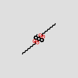 CCCCCCCCCCCC(=O)Oc1c2ccccc2c(OC(=O)CCCCCCCCCCC)c2c(C)cccc12